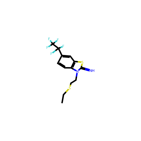 CCSCCn1c(=N)sc2cc(C(F)(F)C(F)(F)F)ccc21